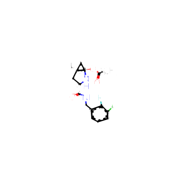 O=C(NCc1cccc(Cl)c1F)[C@@H]1C[C@H]2C[C@]2(OC(=O)C(F)(F)F)N1